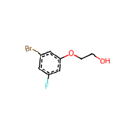 OCCOc1cc(F)cc(Br)c1